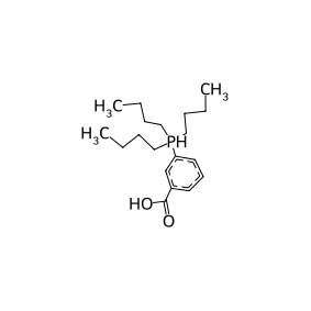 CCCC[PH](CCCC)(CCCC)c1cccc(C(=O)O)c1